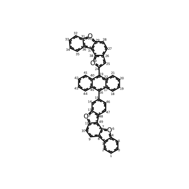 c1ccc2c(c1)oc1c2ccc2oc3cc(-c4c5ccccc5c(-c5cc6ccc7oc8ccccc8c7c6o5)c5ccccc45)ccc3c21